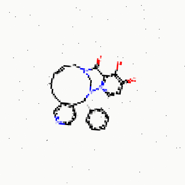 O=C1c2c(O)c(=O)ccn2N2CN1C/C=C\CCc1cnccc1[C@H]2c1ccccc1